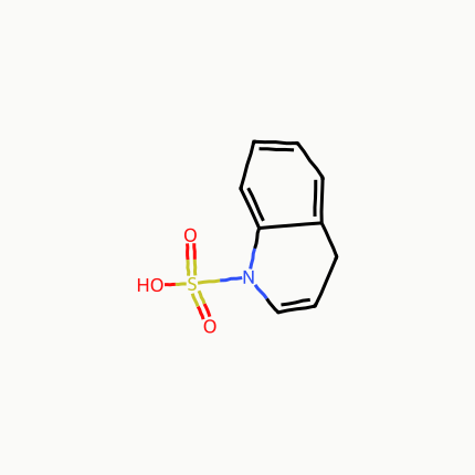 O=S(=O)(O)N1C=CCc2ccccc21